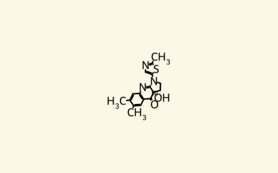 Cc1ncc(N2CC[C@@]3(O)C(=O)c4cc(C)c(C)cc4N=C23)s1